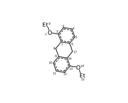 CCOc1cccc2c1Cc1cccc(OCC)c1C2